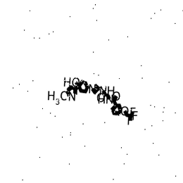 Cc1ccc(C2(O)CCC(N3CC(NC(=O)CNC(=O)c4cccc(OCC(F)(F)F)c4)C3)CC2)cn1